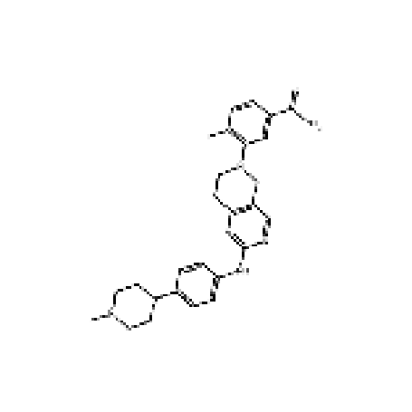 Cc1ccc(C(N)=O)cc1N1CCc2nc(Nc3ccc(N4CCN(C)CC4)cc3)ncc2C1